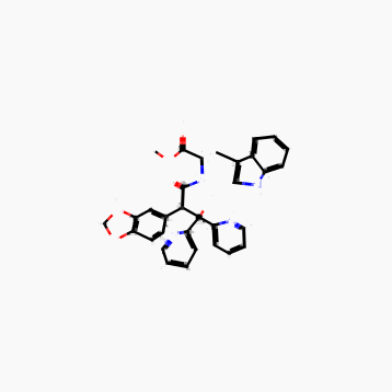 COC(=O)[C@H](Cc1c[nH]c2ccccc12)NC(=O)C(c1ccc2c(c1)OCO2)C(O)(c1ccccn1)c1ccccn1